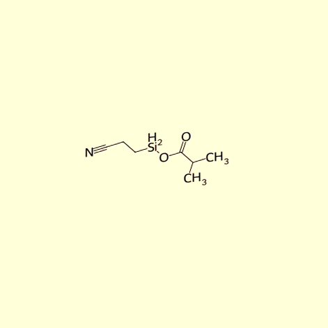 CC(C)C(=O)O[SiH2]CCC#N